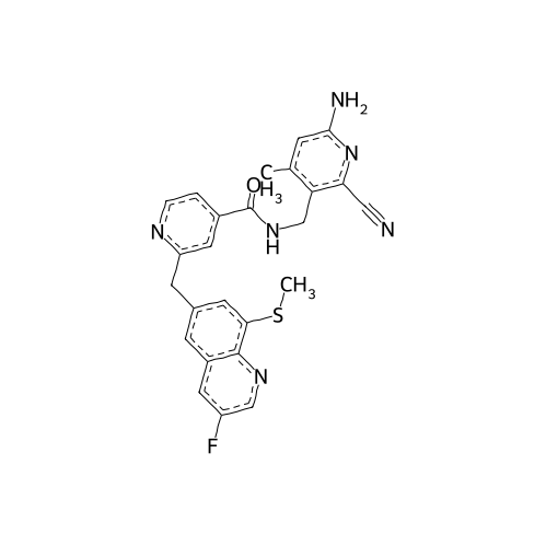 CSc1cc(Cc2cc(C(=O)NCc3c(C)cc(N)nc3C#N)ccn2)cc2cc(F)cnc12